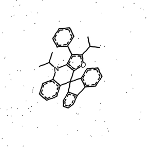 CC(C)c1oc2c(c1-c1ccccc1)N(C(C)C)c1ccccc1C21c2ccccc2-c2ccccc21